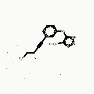 O=C(O)c1nn[nH]c1Oc1cccc(C#CCCC(F)(F)F)c1